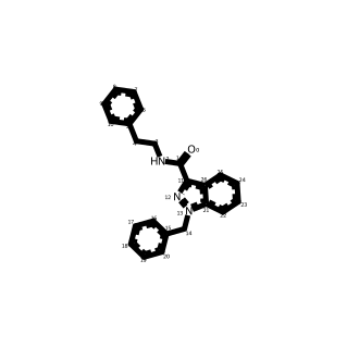 O=C(NCCc1ccccc1)c1nn(Cc2ccccc2)c2ccccc12